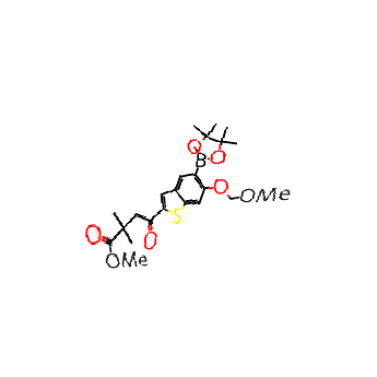 COCOc1cc2sc(C(=O)CC(C)(C)C(=O)OC)cc2cc1B1OC(C)(C)C(C)(C)O1